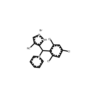 N#Cc1cn[nH]c1C(c1c(Cl)cc(Cl)cc1Cl)[n+]1ccccc1.[Br-]